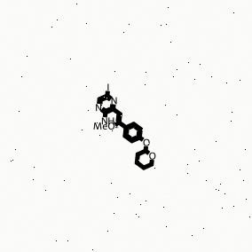 COC(=Cc1nc(I)cnc1N)c1ccc(OC2CCCCO2)cc1